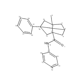 CC12CC3CC1(C(=O)Nc1ccncc1)CC3(c1ccccc1)C2